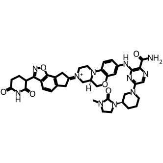 CN1CCN([C@@H]2CCCN(c3cnc(C(N)=O)c(Nc4ccc5c(c4)OC[C@H]4C/[N+](=C6\Cc7ccc8c(C9CCC(=O)NC9=O)noc8c7C6)CCN54)n3)C2)C1=O